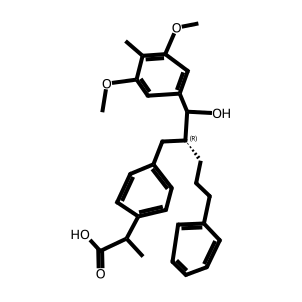 COc1cc(C(O)[C@H](CCCc2ccccc2)Cc2ccc(C(C)C(=O)O)cc2)cc(OC)c1C